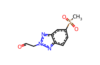 CS(=O)(=O)c1ccc2nn(CC=O)nc2c1